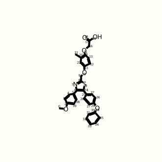 COc1ccc(-c2nc(COc3ccc(OCC(=O)O)c(C)c3)sc2-c2ccc(Oc3ccccc3)cc2)cc1